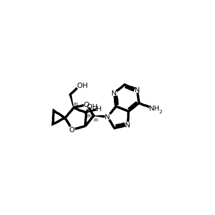 Nc1ncnc2c1ncn2[C@@H]1O[C@]2(CO)[C@H](O)C1OC21CC1